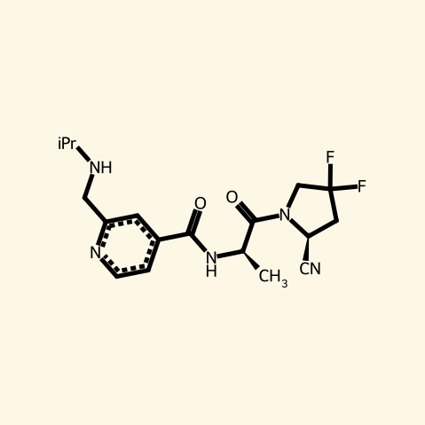 CC(C)NCc1cc(C(=O)N[C@H](C)C(=O)N2CC(F)(F)C[C@H]2C#N)ccn1